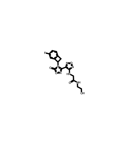 O=C(CNc1nonc1-c1noc(=O)n1C1Cc2ccc(F)cc21)NCCO